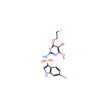 COc1nc(NS(=O)(=O)c2c[nH]c3cc(Cl)ccc23)nc(OCCF)c1Br